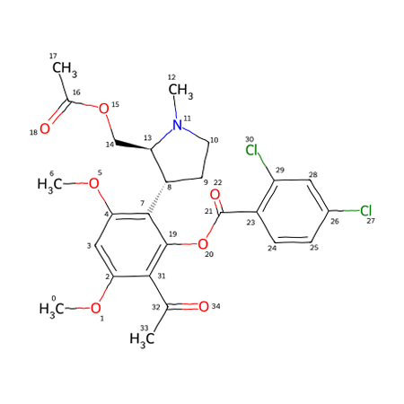 COc1cc(OC)c([C@H]2CCN(C)[C@@H]2COC(C)=O)c(OC(=O)c2ccc(Cl)cc2Cl)c1C(C)=O